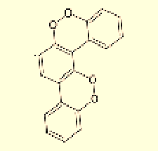 [c]1cc2c3ccccc3ooc2c2c1ooc1ccccc12